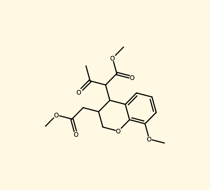 COC(=O)CC1COc2c(OC)cccc2C1C(C(C)=O)C(=O)OC